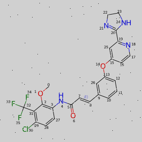 COc1c(NC(=O)/C=C/c2cccc(Oc3ccnc(C4=NCCN4)c3)c2)ccc(Cl)c1C(F)(F)F